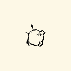 C#Cc1cc2ccc(cc3nc(cc4ccc(cc(C)n1)[nH]4)C=C3)[nH]2